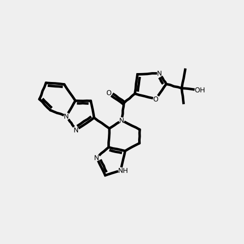 CC(C)(O)c1ncc(C(=O)N2CCc3[nH]cnc3C2c2cc3ccccn3n2)o1